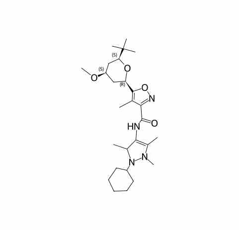 CO[C@H]1C[C@@H](C(C)(C)C)O[C@@H](c2onc(C(=O)NC3=C(C)N(C)N(C4CCCCC4)C3C)c2C)C1